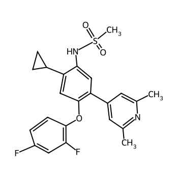 Cc1cc(-c2cc(NS(C)(=O)=O)c(C3CC3)cc2Oc2ccc(F)cc2F)cc(C)n1